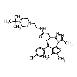 Cc1sc2c(c1C)C(c1ccc(Cl)cc1)=NC(CC(=O)NCCN1CCN(C(C)(C)C)CC1)c1nnc(C)n1-2